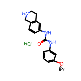 CC(C)Oc1cccc(NC(=O)Nc2ccc3c(c2)CCNC3)c1.Cl